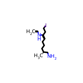 C=CN/C(=C\CCC[C@H](C)CN)CCI